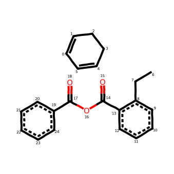 C1=CCCC=C1.CCc1ccccc1C(=O)OC(=O)c1ccccc1